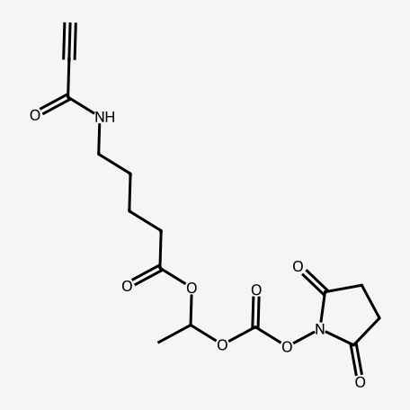 C#CC(=O)NCCCCC(=O)OC(C)OC(=O)ON1C(=O)CCC1=O